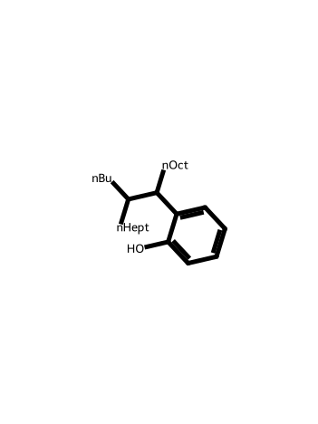 CCCCCCCCC(c1ccccc1O)C(CCCC)CCCCCCC